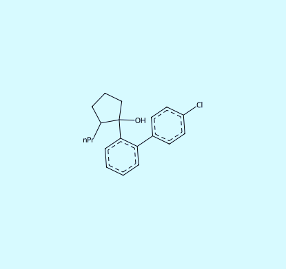 CCCC1CCCC1(O)c1ccccc1-c1ccc(Cl)cc1